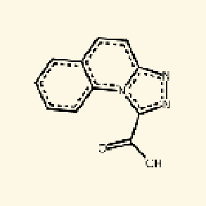 O=C(O)c1nnc2ccc3ccccc3n12